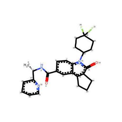 C[C@H](NC(=O)c1ccc2c(c1)c1c(c(=O)n2C2CCC(F)(F)CC2)CCC1)c1ccccn1